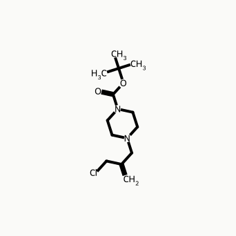 C=C(CCl)CN1CCN(C(=O)OC(C)(C)C)CC1